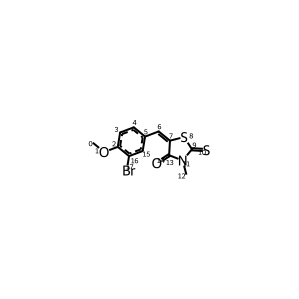 COc1ccc(C=C2SC(=S)N(C)C2=O)cc1Br